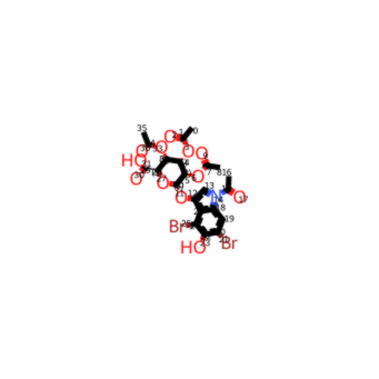 CC(=O)O[C@@H]1[C@@H](OC(C)=O)[C@H](Oc2cn(C(C)=O)c3cc(Br)c(O)c(Br)c23)O[C@H](C(=O)O)[C@H]1OC(C)=O